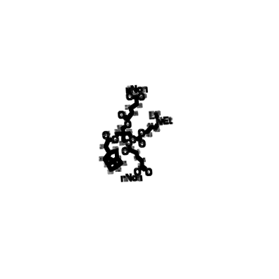 CCCCCCCCCOC(=O)CCCC(=O)OCC(COC(=O)CCCC(=O)OCCCCCCCCC)(COC(=O)CC12CC3CC4CC(C1)C43C2)COC(=O)OCCCN(CC)CC